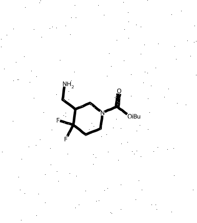 CC(C)COC(=O)N1CCC(F)(F)C(CN)C1